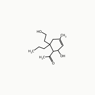 CCCC1(CCO)CC(C)=CC(O)C1C(C)=O